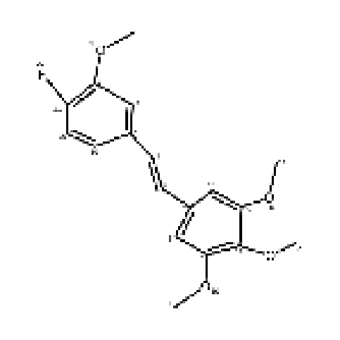 COc1cc(/C=C/c2cc(OC)c(OC)c(OC)c2)ccc1F